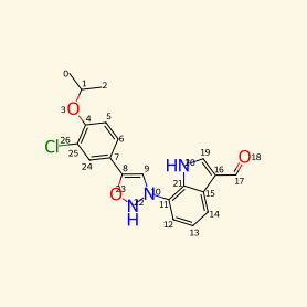 CC(C)Oc1ccc(C2=CN(c3cccc4c(C=O)c[nH]c34)NO2)cc1Cl